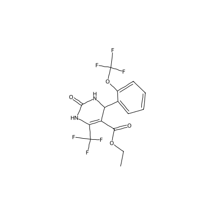 CCOC(=O)C1=C(C(F)(F)F)NC(=O)NC1c1ccccc1OC(F)(F)F